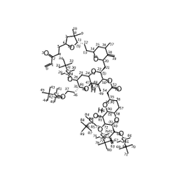 C=CC(=O)CCC1CC(C)(C)[C@H](CCC2CC(C)C(=C)C(C[C@@H]3OC4CC(O[Si](C)(C)C(C)(C)C)[C@@H](CCO[Si](C)(C)C(C)(C)C)O[C@H]4[C@H](C)C3OC(=O)C[C@H]3CCC4O[C@@H](C(C=C)O[Si](C)(C)C(C)(C)C)C(O[Si](C)(C)C(C)(C)C)C(O[Si](C)(C)C(C)(C)C)[C@H]4O3)O2)O1